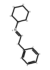 C(Cc1ccccc1)=NC1CCCCC1